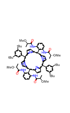 CO[C@H](C)C(=O)Nc1cccc(NC(=O)[C@@H](C)OC)c1-c1c2nc(c(-c3cc(C(C)(C)C)cc(C(C)(C)C)c3)c3ccc([nH]3)c(-c3c(NC(=O)[C@@H](C)OC)cccc3NC(=O)[C@@H](C)OC)c3nc(c(-c4cc(C(C)(C)C)cc(C(C)(C)C)c4)c4ccc1[nH]4)C=C3)C=C2